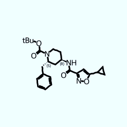 CC(C)(C)OC(=O)N1CC[C@@H](NC(=O)c2cc(C3CC3)on2)C[C@@H]1Cc1ccccc1